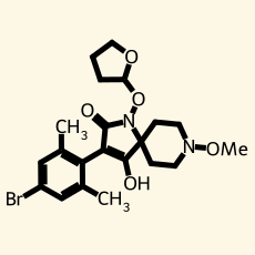 CON1CCC2(CC1)C(O)=C(c1c(C)cc(Br)cc1C)C(=O)N2OC1CCCO1